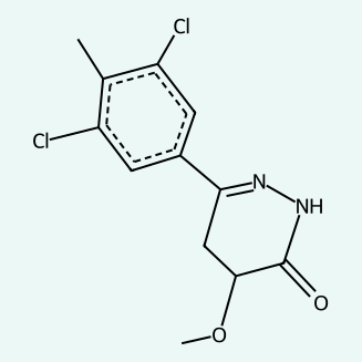 COC1CC(c2cc(Cl)c(C)c(Cl)c2)=NNC1=O